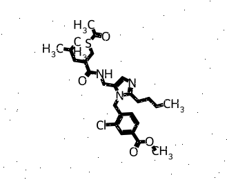 CCCCc1ncc(CNC(=O)C(CSC(C)=O)CC(C)C)n1Cc1ccc(C(=O)OC)cc1Cl